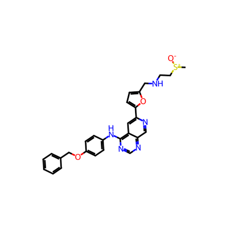 C[S+]([O-])CCNCc1ccc(-c2cc3c(Nc4ccc(OCc5ccccc5)cc4)ncnc3cn2)o1